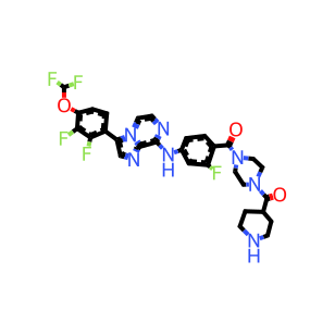 O=C(c1ccc(Nc2nccn3c(-c4ccc(OC(F)F)c(F)c4F)cnc23)cc1F)N1CCN(C(=O)C2CCNCC2)CC1